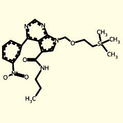 CCCNC(=O)c1cn(COCC[Si](C)(C)C)c2ncnc(-c3cccc([N+](=O)[O-])c3)c12